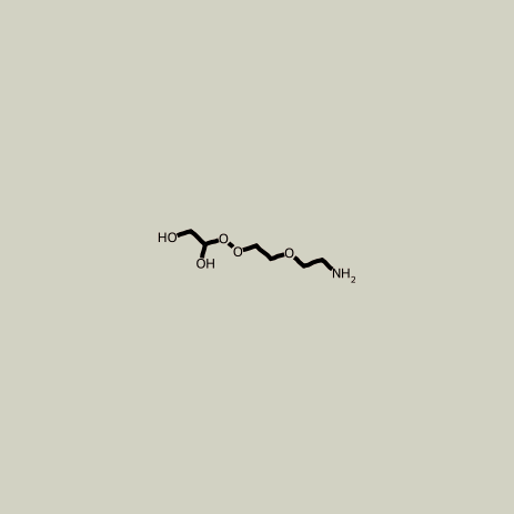 NCCOCCOOC(O)CO